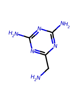 NCc1nc(N)nc(N)n1